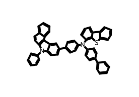 c1ccc(-c2ccc(N(c3ccc(-c4ccc5c(c4)c4c6ccccc6ccc4n5-c4ccccc4)cc3)c3cccc4c3sc3ccccc34)cc2)cc1